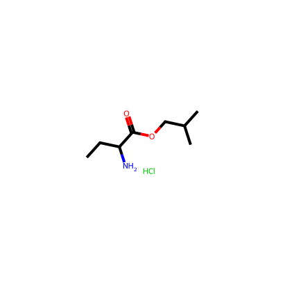 CCC(N)C(=O)OCC(C)C.Cl